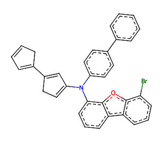 Brc1cccc2c1oc1c(N(C3=CCC(C4=CC=CC4)=C3)c3ccc(-c4ccccc4)cc3)cccc12